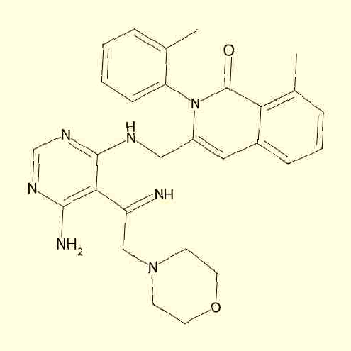 Cc1ccccc1-n1c(CNc2ncnc(N)c2C(=N)CN2CCOCC2)cc2cccc(C)c2c1=O